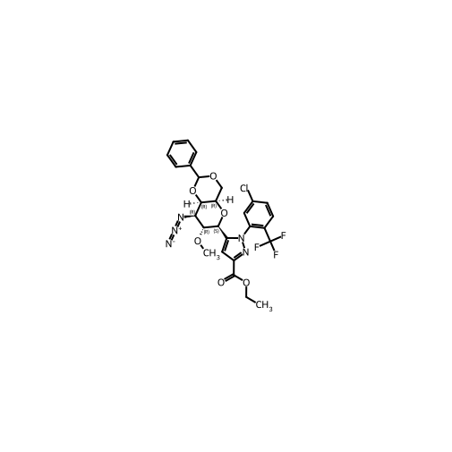 CCOC(=O)c1cc([C@@H]2O[C@@H]3COC(c4ccccc4)O[C@@H]3[C@H](N=[N+]=[N-])[C@H]2OC)n(-c2cc(Cl)ccc2C(F)(F)F)n1